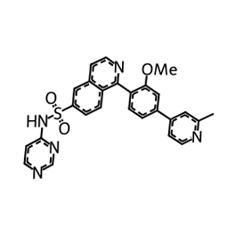 COc1cc(-c2ccnc(C)c2)ccc1-c1nccc2cc(S(=O)(=O)Nc3ccncn3)ccc12